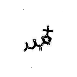 CN(C)CC(=O)Nc1ncc(C(C)(C)C)o1